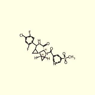 CS(=O)(=O)c1cncc(C(=O)N2[C@@H](C(=O)NC(c3cc(F)c(Cl)cc3F)C3CC3)C[C@H]3C[C@H]32)c1